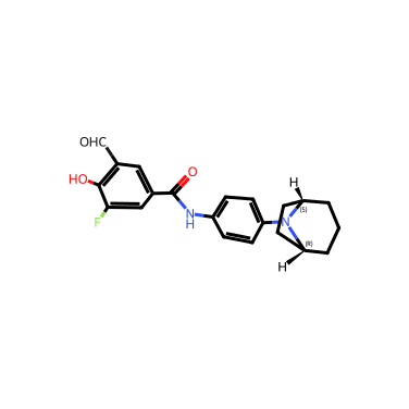 O=Cc1cc(C(=O)Nc2ccc(N3[C@@H]4CCC[C@H]3CC4)cc2)cc(F)c1O